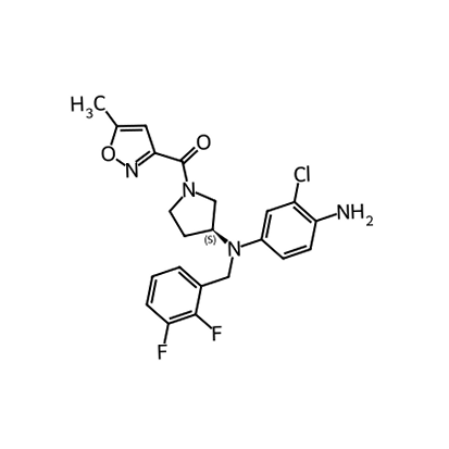 Cc1cc(C(=O)N2CC[C@H](N(Cc3cccc(F)c3F)c3ccc(N)c(Cl)c3)C2)no1